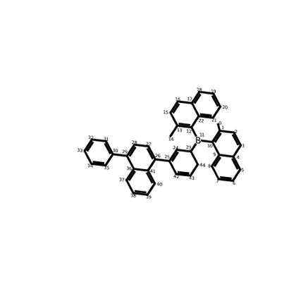 Cc1ccc2ccccc2c1B(c1c(C)ccc2ccccc12)C1C=C(c2ccc(-c3ccccc3)c3ccccc23)C=CC1